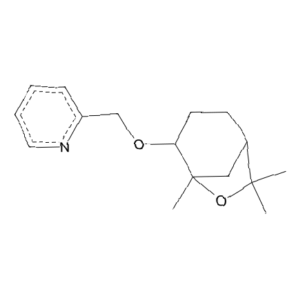 CC1(C)OC2(C)CC1CCC2OCc1ccccn1